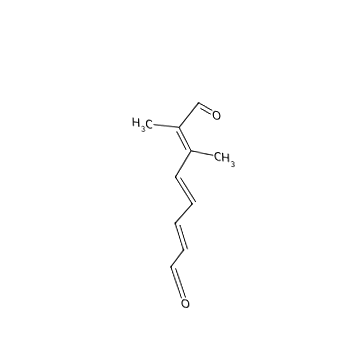 CC(C=O)=C(C)C=CC=CC=O